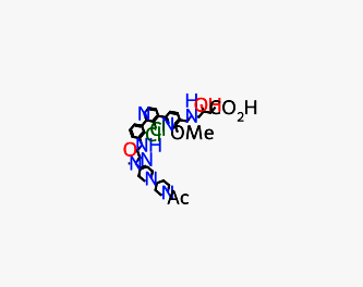 COc1nc(-c2ccnc(-c3cccc(NC(=O)c4nc5c(n4C)CCN(C4CCN(C(C)=O)CC4)C5)c3Cl)c2Cl)ccc1CNCC(O)CC(=O)O